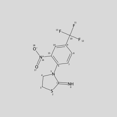 N=C1SCCN1c1ccc(C(F)(F)F)cc1[N+](=O)[O-]